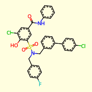 O=C(Nc1ccccc1)c1cc(Cl)c(O)c(S(=O)(=O)N(Cc2ccc(F)cc2)Cc2cccc(-c3ccc(Cl)cc3)c2)c1